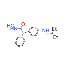 CCC(CC)CNc1ccc(C(C(=O)NO)c2ccccc2)cc1